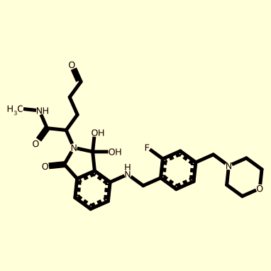 CNC(=O)C(CCC=O)N1C(=O)c2cccc(NCc3ccc(CN4CCOCC4)cc3F)c2C1(O)O